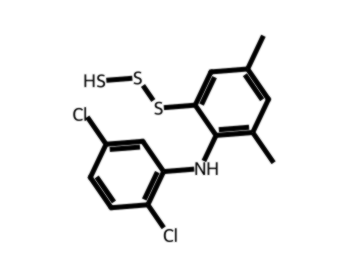 Cc1cc(C)c(Nc2cc(Cl)ccc2Cl)c(SSS)c1